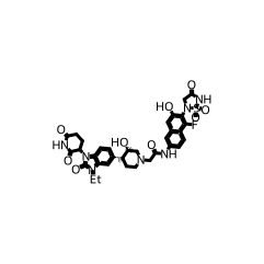 CCn1c(=O)n(C2CCC(=O)NC2=O)c2ccc([C@H]3CCN(CC(=O)Nc4ccc5c(F)c(N6CC(=O)NS6(=O)=O)c(O)cc5c4)C[C@@H]3O)cc21